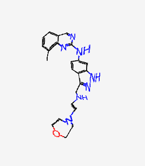 Cc1cccc2cnc(Nc3ccc4c(CNCCN5CCOCC5)n[nH]c4c3)nc12